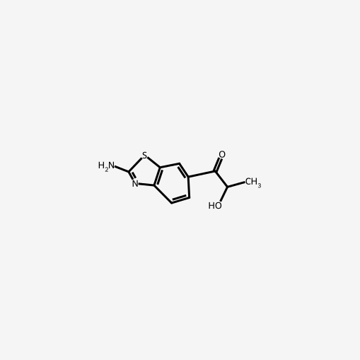 CC(O)C(=O)c1ccc2nc(N)sc2c1